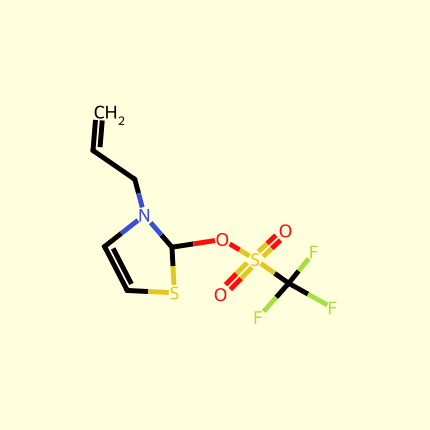 C=CCN1C=CSC1OS(=O)(=O)C(F)(F)F